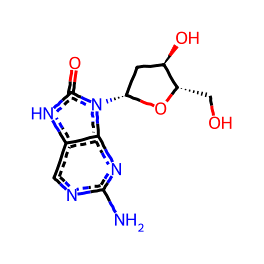 Nc1ncc2[nH]c(=O)n([C@@H]3C[C@@H](O)[C@H](CO)O3)c2n1